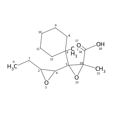 CCC1OC1C1(C2(C)CCCCC2)OC1(C)C(=O)O